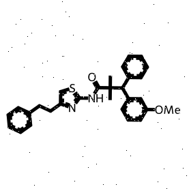 COc1cccc(C(c2ccccc2)C(C)(C)C(=O)Nc2nc(CCc3ccccc3)cs2)c1